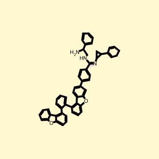 NC(CN/C(=N\C1CC1C1=CCCC=C1)c1ccc(-c2ccc3c(c2)oc2cccc(-c4ccccc4-c4cccc5oc6ccccc6c45)c23)cc1)c1ccccc1